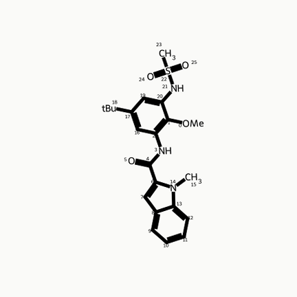 COc1c(NC(=O)c2cc3ccccc3n2C)cc(C(C)(C)C)cc1NS(C)(=O)=O